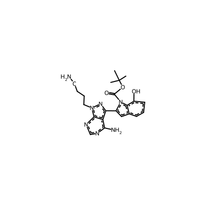 CC(C)(C)OC(=O)n1c(-c2nn(CCCCN)c3ncnc(N)c23)cc2cccc(O)c21